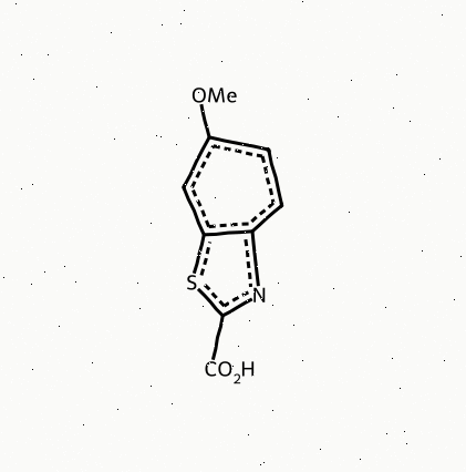 COc1ccc2nc(C(=O)O)sc2c1